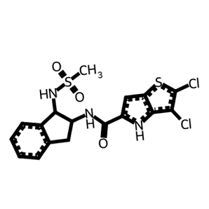 CS(=O)(=O)NC1c2ccccc2CC1NC(=O)c1cc2sc(Cl)c(Cl)c2[nH]1